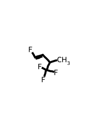 CC(C=CF)C(F)(F)F